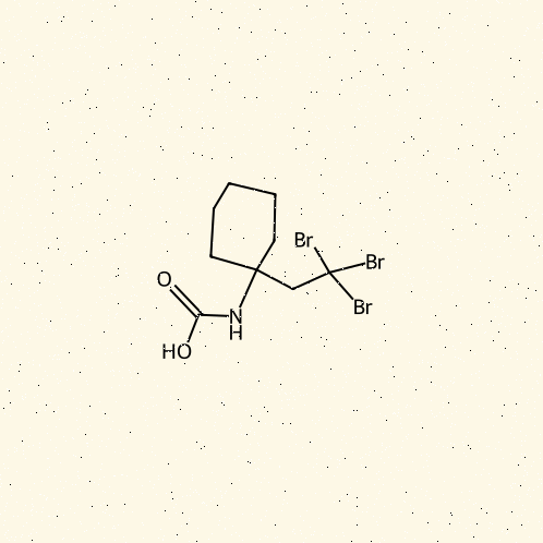 O=C(O)NC1(CC(Br)(Br)Br)CCCCC1